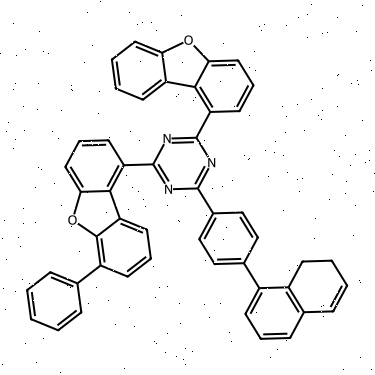 C1=Cc2cccc(-c3ccc(-c4nc(-c5cccc6oc7ccccc7c56)nc(-c5cccc6oc7c(-c8ccccc8)cccc7c56)n4)cc3)c2CC1